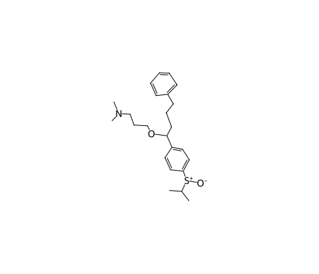 CC(C)[S+]([O-])c1ccc(C(CCCc2ccccc2)OCCCN(C)C)cc1